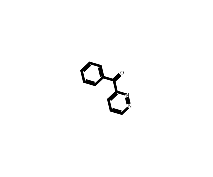 O=C(c1ccccc1)c1cccnn1